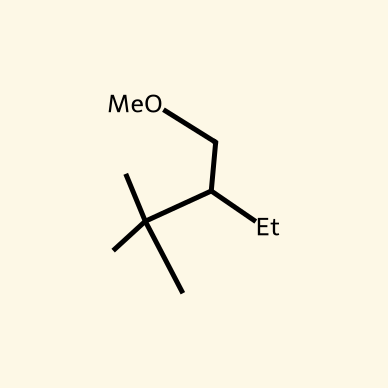 CCC(COC)C(C)(C)C